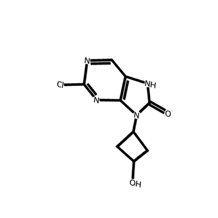 O=c1[nH]c2cnc(Cl)nc2n1C1CC(O)C1